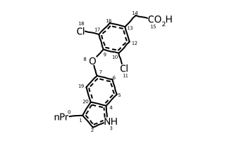 CCCc1c[nH]c2ccc(Oc3c(Cl)cc(CC(=O)O)cc3Cl)cc12